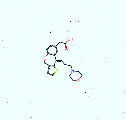 O=C(O)Cc1ccc2c(c1)C(=CCCN1CCOCC1)c1sccc1CO2